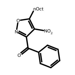 CCCCCCCCc1onc(C(=O)c2ccccc2)c1[N+](=O)[O-]